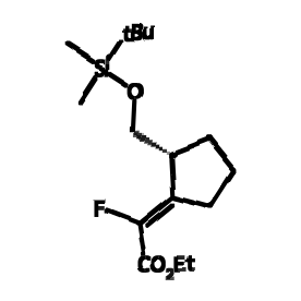 CCOC(=O)/C(F)=C1\CCC[C@H]1CO[Si](C)(C)C(C)(C)C